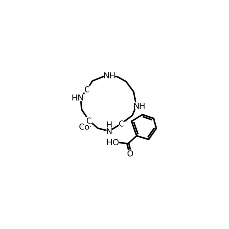 C1CNCCNCCCNCCNC1.O=C(O)c1ccccc1.[Co]